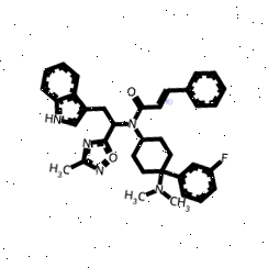 Cc1noc(C(Cc2c[nH]c3ccccc23)N(C(=O)/C=C/c2ccccc2)C2CCC(c3cccc(F)c3)(N(C)C)CC2)n1